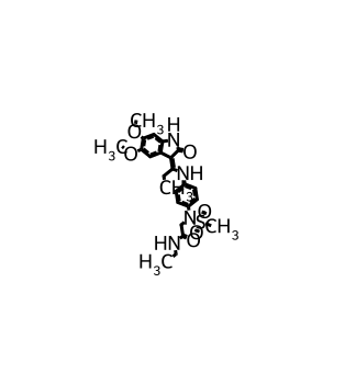 CCNC(=O)CN(c1ccc(N/C(CC)=C2\C(=O)Nc3cc(OC)c(OC)cc32)cc1)S(C)(=O)=O